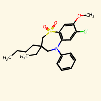 CCCCC1(CC)CN(c2ccccc2)c2cc(Cl)c(OC)cc2S(=O)(=O)C1